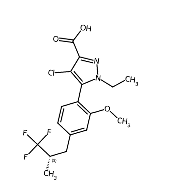 CCn1nc(C(=O)O)c(Cl)c1-c1ccc(C[C@H](C)C(F)(F)F)cc1OC